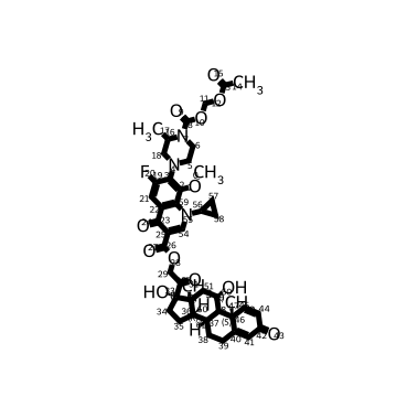 COc1c(N2CCN(C(=O)OCOC(C)=O)C(C)C2)c(F)cc2c(=O)c(C(=O)OCC(=O)[C@]3(O)CC[C@@H]4[C@H]5CCC6=CC(=O)C=C[C@@]6(C)C5[C@H](O)C[C@]43C)cn(C3CC3)c12